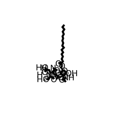 CCCCCCCCCCCCCCCCCC(=O)OC[C@H]1O[C@H](O)[C@H](NC(C)=O)[C@@H](OC(C)CN(C(=O)[C@@H](N)CO)[C@H](CCC(=O)O)C(N)=O)[C@@H]1O